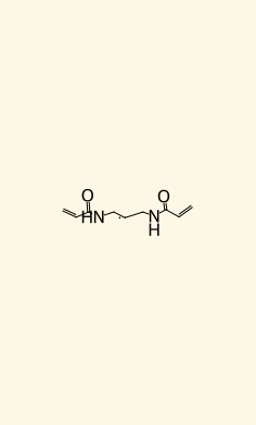 C=CC(=O)NC[CH]CNC(=O)C=C